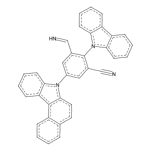 N#Cc1cc(-n2c3ccccc3c3c4ccccc4ccc32)cc(C=N)c1-n1c2ccccc2c2ccccc21